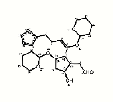 O=CC[C@@H]1[C@@H](C(=CCCc2cccs2)OC2CCCCO2)[C@H](OC2CCCCO2)C[C@@H]1O